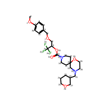 COc1ccc(COCC(OC(=O)N2CCC3(CC2)CN(CC2CCCOC2)CCO3)C(F)(F)F)cc1